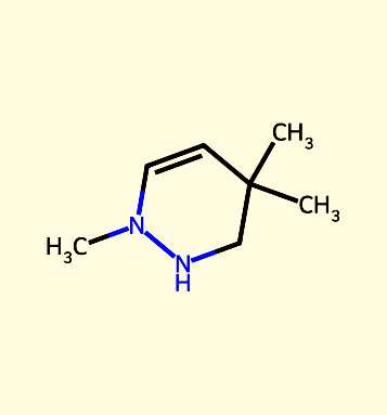 CN1C=CC(C)(C)CN1